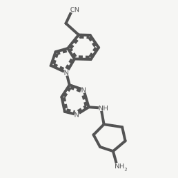 N#CCc1cccc2c1ccn2-c1ccnc(NC2CCC(N)CC2)n1